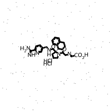 Cl.Cl.N=C(N)c1ccc(CNC(=O)[C@]2(C3CCCc4ccccc43)CCCN2C(=O)CN=CC(=O)O)cn1